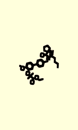 CCCCC1=NC2(CCCC2)C(=O)N1Cc1ccc(-c2ccc(OC)c(OC(C)(C)C(=O)OCC)c2)cc1